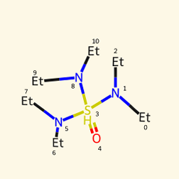 CCN(CC)[SH](=O)(N(CC)CC)N(CC)CC